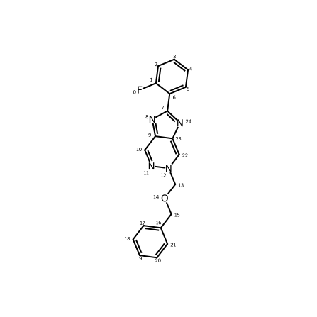 Fc1ccccc1-c1nc2cnn(COCc3ccccc3)cc-2n1